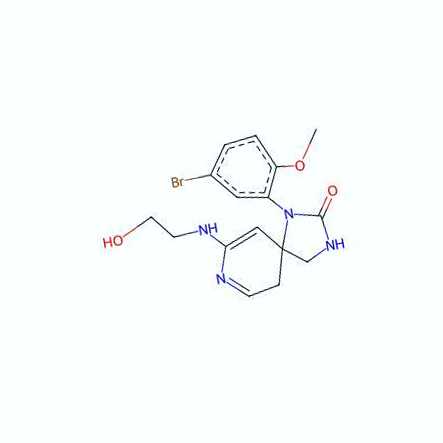 COc1ccc(Br)cc1N1C(=O)NCC12C=C(NCCO)N=CC2